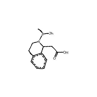 CB(O)N1CCc2ccccc2C1CC(=O)O